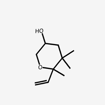 C=CC1(C)OCC(O)CC1(C)C